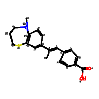 C/C(=C\c1ccc(C(=O)O)cc1)c1ccc2c(c1)SCCCN2C